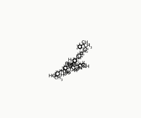 CC(C)c1ccccc1[C@@H]1CCCN1C1CC2(CCN(c3ccc(C(=O)NS(=O)(=O)c4ccc(NCC5CCC(C)(O)CC5)c([N+](=O)[O-])c4)c(N4c5cc6cc[nH]c6nc5O[C@H]5COCC[C@@H]54)c3)CC2)C1